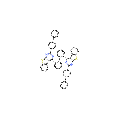 c1ccc(-c2ccc(-c3nc(-c4ccccc4-c4ccccc4-c4nc(-c5ccc(-c6ccccc6)cc5)nc5sc6ccccc6c45)c4c(n3)sc3ccccc34)cc2)cc1